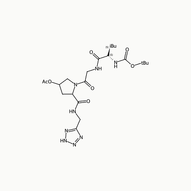 CC[C@H](C)[C@H](NC(=O)OC(C)(C)C)C(=O)NCC(=O)N1CC(OC(C)=O)CC1C(=O)NCc1nn[nH]n1